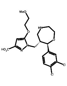 COCCOc1cc(C(=O)O)nn1C[C@@H]1CNCCO[C@H]1c1ccc(Cl)c(Cl)c1